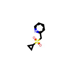 O=S(=O)(Cc1ccccn1)C1CC1